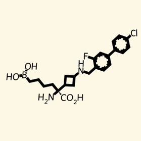 N[C@](CCCCB(O)O)(C(=O)O)C1CC(NCc2ccc(-c3ccc(Cl)cc3)cc2F)C1